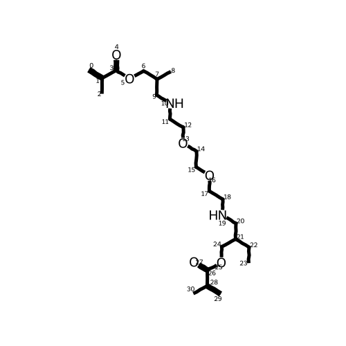 C=C(C)C(=O)OCC(C)CNCCOCCOCCNCC(CC)COC(=O)C(=C)C